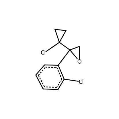 Clc1ccccc1C1(C2(Cl)CC2)CO1